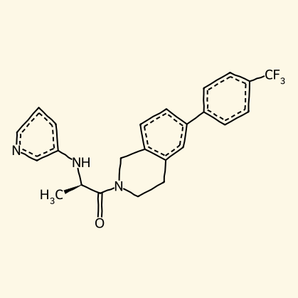 C[C@@H](Nc1cccnc1)C(=O)N1CCc2cc(-c3ccc(C(F)(F)F)cc3)ccc2C1